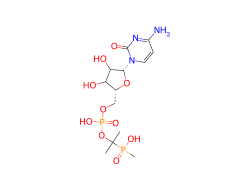 CC(C)(OP(=O)(O)OC[C@H]1O[C@@H](n2ccc(N)nc2=O)C(O)C1O)P(C)(=O)O